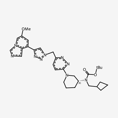 COc1cc(-c2cn(Cc3ccc(N4CCC[C@@H](N(CC5CCC5)C(=O)OC(C)(C)C)C4)nn3)nn2)c2cncn2c1